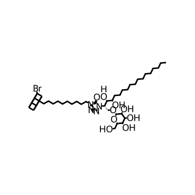 CCCCCCCCCCCCCC[C@@H](O)[C@@H](O)[C@H](COC1OC(CO)C(O)C(O)C1O)n1nnn(CCCCCCCCCCC23C4C5C6C4C2C6(Br)C53)c1=O